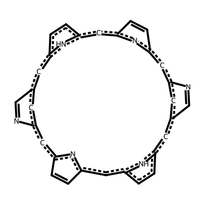 C1=Cc2cc3ccc(cc4cc(cc5nc(cc6ccc(cc7cc(cc1n2)N=C7)[nH]6)C=C5)N=C4)[nH]3